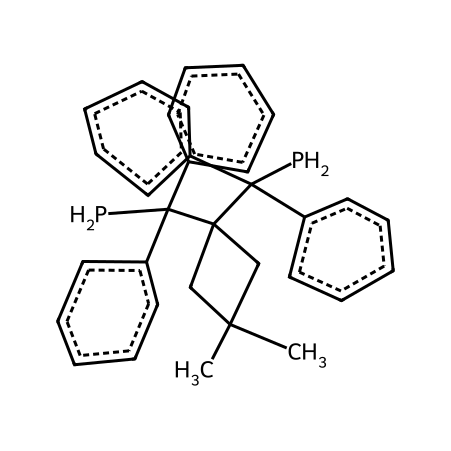 CC1(C)CC(C(P)(c2ccccc2)c2ccccc2)(C(P)(c2ccccc2)c2ccccc2)C1